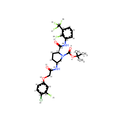 CC(C)(C)OC(=O)N1CC(NC(=O)COc2ccc(Cl)c(F)c2)CC[C@H]1C(=O)Nc1cccc(C(F)(F)F)c1F